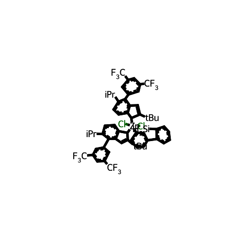 CC(C)c1ccc2c(c1-c1cc(C(F)(F)F)cc(C(F)(F)F)c1)C=C(C(C)(C)C)[CH]2[Zr]([Cl])([Cl])([c]1cccc2c1[SiH2]c1ccccc1-2)[CH]1C(C(C)(C)C)=Cc2c1ccc(C(C)C)c2-c1cc(C(F)(F)F)cc(C(F)(F)F)c1